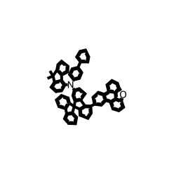 CC1(C)c2ccccc2-c2c(N(c3ccc(-c4ccccc4)cc3)c3ccc4c(c3)C3(c5ccccc5-c5ccccc53)c3cccc(-c5ccc6c(c5)c5cccc7oc8cccc6c8c75)c3-4)cccc21